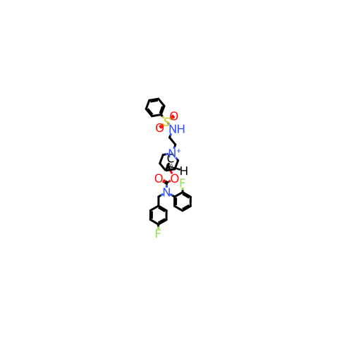 O=C(O[C@H]1C[N+]2(CCNS(=O)(=O)c3ccccc3)CCC1CC2)N(Cc1ccc(F)cc1)c1ccccc1F